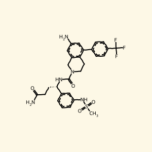 CS(=O)(=O)Nc1cccc([C@H](CCC(N)=O)NC(=O)N2CCc3c(cc(N)cc3-c3ccc(C(F)(F)F)cc3)C2)c1